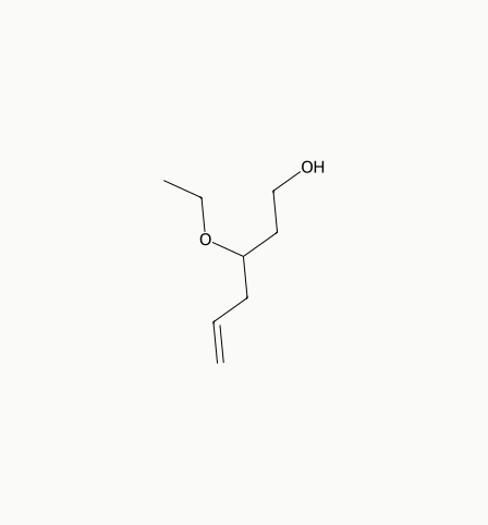 C=CCC(CCO)OCC